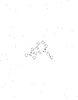 c1ccc(-c2ccc(-c3nc(-c4ccc(-c5ccccc5)cc4)nc(-c4cccc(-c5cccc(-c6cccc(-c7cccc(-c8cccc(-c9nc(-c%10ccccc%10)nc(-c%10ccccc%10)n9)c8)c7)c6)c5)c4)n3)cc2)cc1